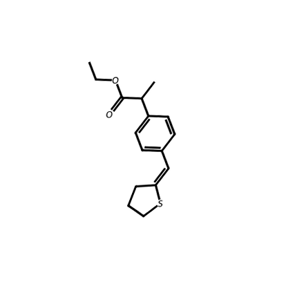 CCOC(=O)C(C)c1ccc(/C=C2\CCCS2)cc1